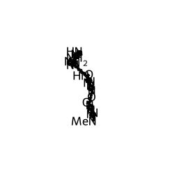 CNCc1cnc(N2CCN(C(=O)CCOCCN3CCN(c4ncc(C(=O)NCCCCCCn5nc(-c6cnc7[nH]ccc7c6)c6c(N)ncnc65)cn4)CC3)CC2)nc1